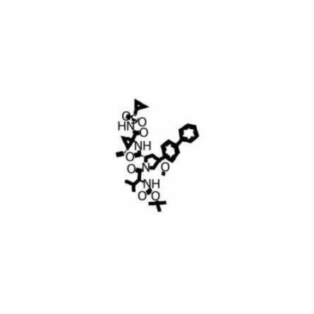 C=C[C@@H]1C[C@]1(NC(=O)[C@@H]1C[C@@](OC)(c2ccc(-c3ccccc3)cc2)CN1C(=O)[C@@H](NC(=O)OC(C)(C)C)C(C)C)C(=O)NS(=O)(=O)C1CC1